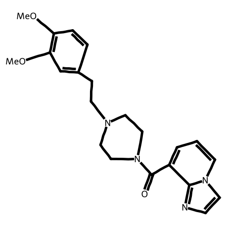 COc1ccc(CCN2CCN(C(=O)c3cccn4ccnc34)CC2)cc1OC